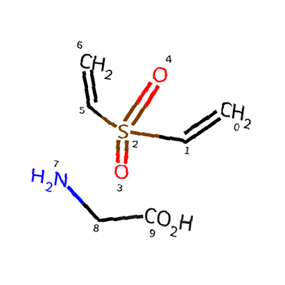 C=CS(=O)(=O)C=C.NCC(=O)O